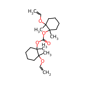 C=COC1(C)CCCCC1(C)OC(=O)OC1(C)CCCCC1(C)OC=C